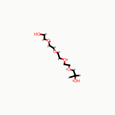 CC(C)(O)COCCOCCOCCOCCO